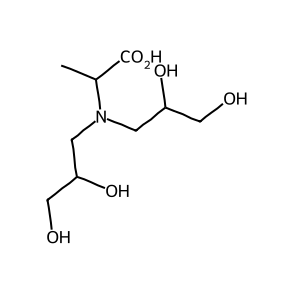 CC(C(=O)O)N(CC(O)CO)CC(O)CO